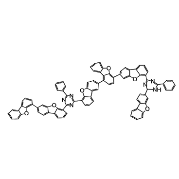 c1ccc(C2=NC(c3cccc4c3oc3cc(-c5ccc(-c6ccc7oc8c(-c9nc(-c%10ccccc%10)nc(-c%10cccc%11c%10oc%10cc(-c%12cccc%13c%12oc%12ccccc%12%13)ccc%10%11)n9)cccc8c7c6)c6c5oc5ccccc56)ccc34)=NC(c3ccc4c(c3)oc3ccccc34)N2)cc1